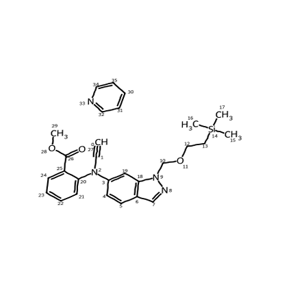 C#CN(c1ccc2cnn(COCC[Si](C)(C)C)c2c1)c1ccccc1C(=O)OC.c1ccncc1